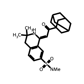 CNS(=O)(=O)c1ccc2c(c1)C(=CC(=O)C13CC4CC(CC(C4)C1)C3)NC(C)(C)C2